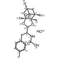 Cc1ccc(CC(NC(=O)O)B2O[C@@H]3C[C@@H]4C[C@@H](C4(C)C)[C@]3(C)O2)cc1.Cl